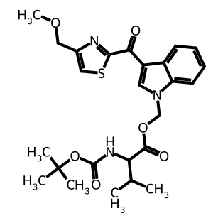 COCc1csc(C(=O)c2cn(COC(=O)C(NC(=O)OC(C)(C)C)C(C)C)c3ccccc23)n1